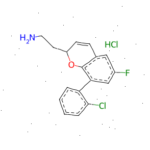 Cl.NCCC1C=Cc2cc(F)cc(-c3ccccc3Cl)c2O1